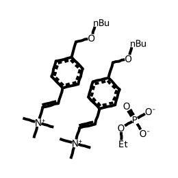 CCCCOCc1ccc(C=C[N+](C)(C)C)cc1.CCCCOCc1ccc(C=C[N+](C)(C)C)cc1.CCOP(=O)([O-])[O-]